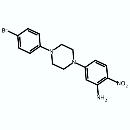 Nc1cc(N2CCN(c3ccc(Br)cc3)CC2)ccc1[N+](=O)[O-]